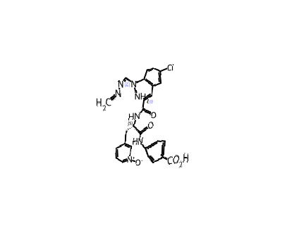 C=N/N=C\N(N)c1ccc(Cl)cc1/C=C/C(=O)N[C@@H](Cc1ccc[n+]([O-])c1)C(=O)Nc1ccc(C(=O)O)cc1